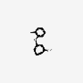 CCCc1cccc(Oc2ccccc2I)c1